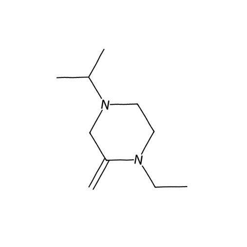 C=C1CN(C(C)C)CCN1CC